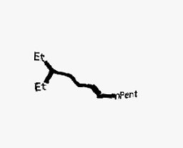 CCCCCC=CCCC(CC)CC